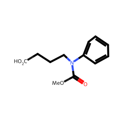 COC(=O)N(CCCC(=O)O)c1ccccc1